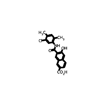 Cc1cc(C)c(NC(=O)c2cc3cc(C(=O)O)ccc3cc2O)cc1Cl